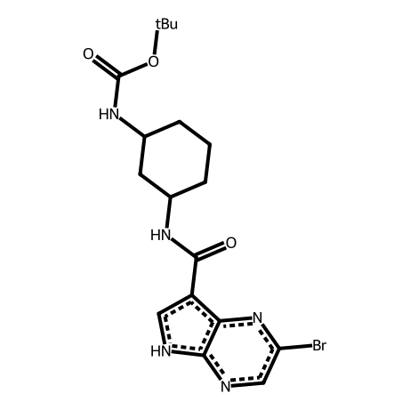 CC(C)(C)OC(=O)NC1CCCC(NC(=O)c2c[nH]c3ncc(Br)nc23)C1